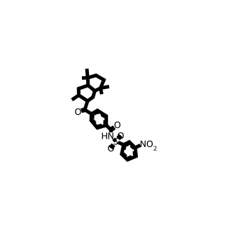 CC1CC2C(CC1C(=O)c1ccc(C(=O)NS(=O)(=O)c3cccc([N+](=O)[O-])c3)cc1)C(C)(C)CCC2(C)C